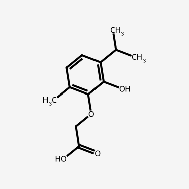 Cc1ccc(C(C)C)c(O)c1OCC(=O)O